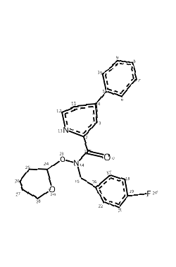 O=C(c1cc(-c2ccccc2)ccn1)N(Cc1ccc(F)cc1)OC1CCCCO1